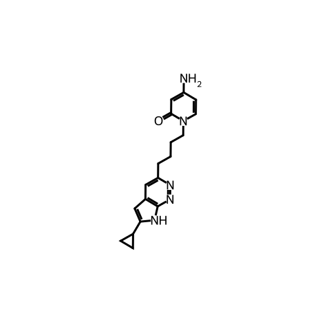 Nc1ccn(CCCCc2cc3cc(C4CC4)[nH]c3nn2)c(=O)c1